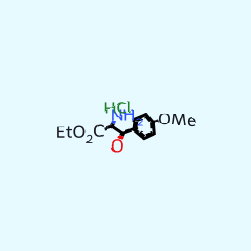 CCOC(=O)C(N)C(=O)c1ccc(OC)cc1.Cl